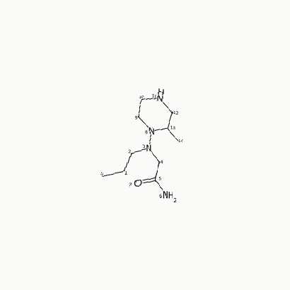 CCCN(CC(N)=O)N1CCNCC1C